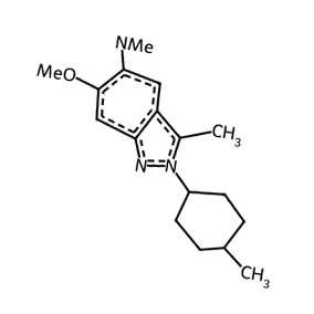 CNc1cc2c(C)n(C3CCC(C)CC3)nc2cc1OC